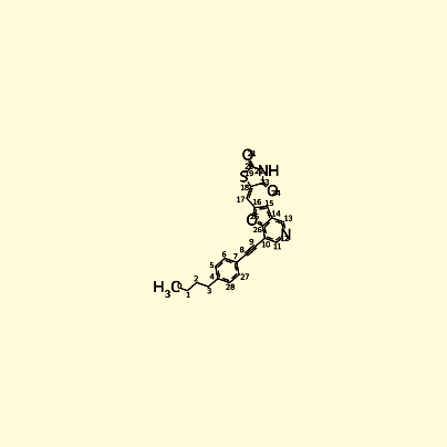 CCCCc1ccc(C#Cc2cncc3cc(C=C4SC(=O)NC4=O)oc23)cc1